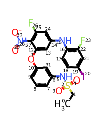 CCS(=O)(=O)Nc1cccc(Oc2cc(Nc3ccc(I)cc3F)cc(F)c2[N+](=O)[O-])c1